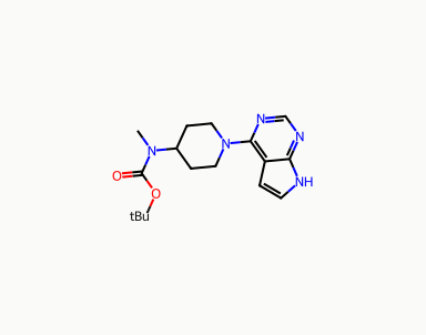 CN(C(=O)OC(C)(C)C)C1CCN(c2ncnc3[nH]ccc23)CC1